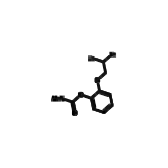 CCC(CC)COc1ccccc1OC(=O)NC